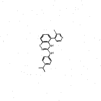 Cc1cnccc1-c1cccc2c1NC(Nc1ccc(C(C)C)cc1)=NS2